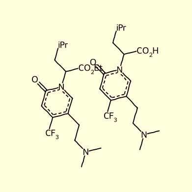 CC(C)CC(C(=O)O)n1cc(CCN(C)C)c(C(F)(F)F)cc1=O.CCOC(=O)C(CC(C)C)n1cc(CCN(C)C)c(C(F)(F)F)cc1=O